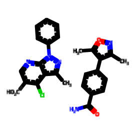 Cc1nn(-c2ccccc2)c2ncc(C(=O)O)c(Cl)c12.Cc1noc(C)c1-c1ccc(C(N)=O)cc1